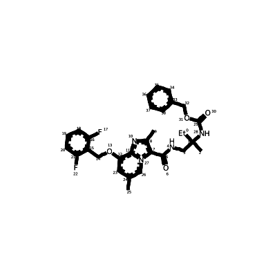 CCC(C)(CNC(=O)c1c(C)nc2c(OCc3c(F)cccc3F)cc(C)cn12)NC(=O)OCc1ccccc1